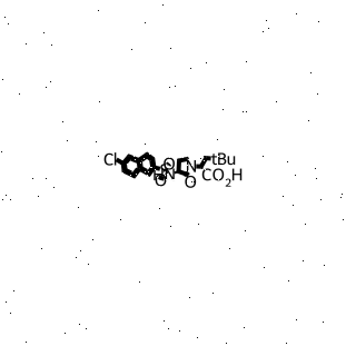 CC(C)(C)C[C@H](C(=O)O)N1CC[C@H](NS(=O)(=O)c2ccc3cc(Cl)ccc3c2)C1=O